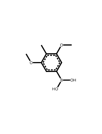 COc1cc(B(O)O)cc(OC)c1C